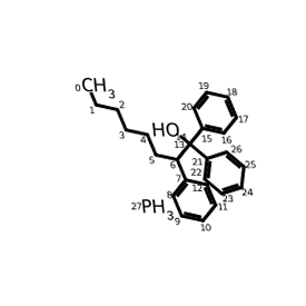 CCCCCCC(c1ccccc1)C(O)(c1ccccc1)c1ccccc1.P